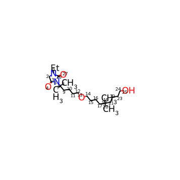 CCN1CC(=O)N(C(C)(C)CCCCOCCCCC(C)(C)CCCCO)C1=O